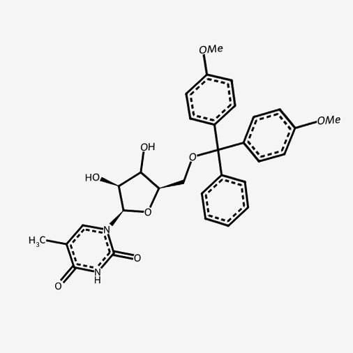 COc1ccc(C(OC[C@H]2O[C@@H](n3cc(C)c(=O)[nH]c3=O)[C@@H](O)C2O)(c2ccccc2)c2ccc(OC)cc2)cc1